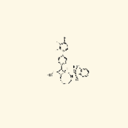 Cc1c(F)ccc(-c2ccc([C@@H]3C(CO)N4CCCCN(S(=O)(=O)c5ccccc5C(F)(F)F)C[C@@H]34)cc2)c1C